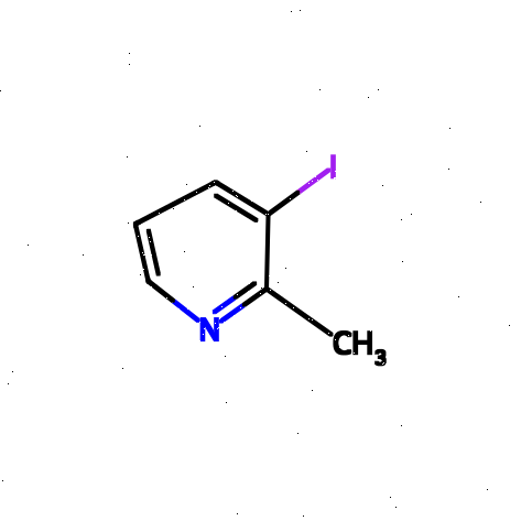 Cc1ncccc1I